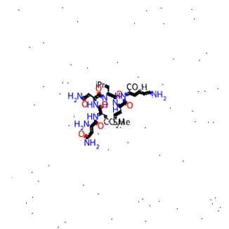 CSCC[C@H](NC(=O)[C@H](CC(C)C)NC(=O)[C@H](CC(N)=O)NC(=O)[C@H](CC(=O)O)NC(=O)[C@@H](N)CC(N)=O)C(=O)N[C@@H](CCCCN)C(=O)O